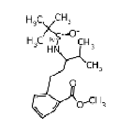 COC(=O)c1ccccc1CCC(N[S@+]([O-])C(C)(C)C)C(C)C